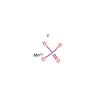 O=P([O-])([O-])[O-].[F].[Mn+3]